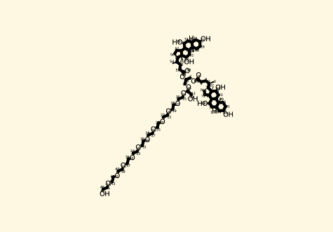 C[C@H](CCC(=O)OCC(COC(CO)OCCOCCOCCOCCOCCOCCOCCOCCOCCOCCOCCO)OC(=O)CC[C@@H](C)[C@H]1CCC2C3C(C[C@H](O)[C@@]21C)[C@@]1(C)CC[C@@H](O)C[C@H]1C[C@H]3O)[C@H]1CCC2C3C(C[C@H](O)[C@@]21C)[C@@]1(C)CC[C@@H](O)C[C@H]1C[C@H]3O